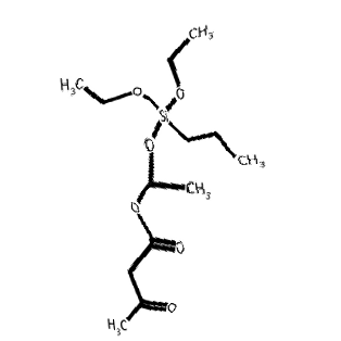 CCC[Si](OCC)(OCC)OC(C)OC(=O)CC(C)=O